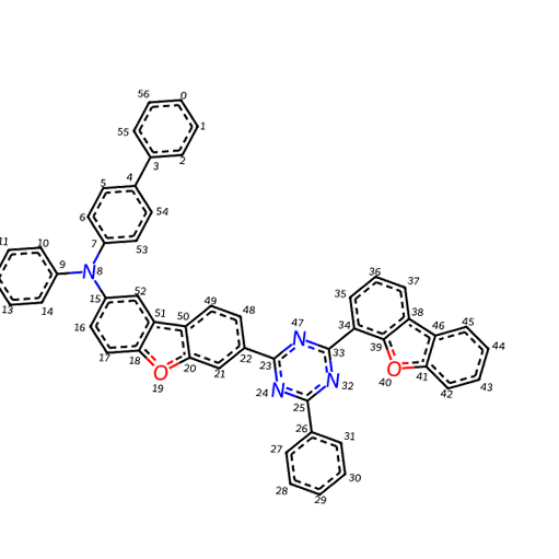 c1ccc(-c2ccc(N(c3ccccc3)c3ccc4oc5cc(-c6nc(-c7ccccc7)nc(-c7cccc8c7oc7ccccc78)n6)ccc5c4c3)cc2)cc1